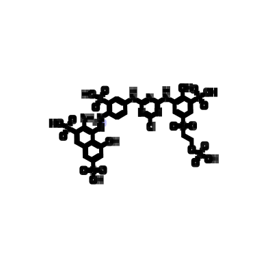 Nc1c(S(=O)(=O)O)cc2cc(S(=O)(=O)O)cc(O)c2c1/N=N/c1ccc(Nc2nc(Cl)nc(Nc3cc(S(=O)(=O)CCOS(=O)(=O)O)cc(S(=O)(=O)O)c3O)n2)cc1S(=O)(=O)O